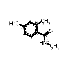 CNC(=S)c1ccc(C)cc1C